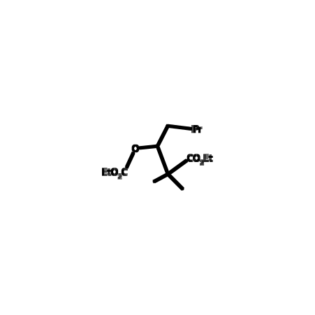 CCOC(=O)OC(CC(C)C)C(C)(C)C(=O)OCC